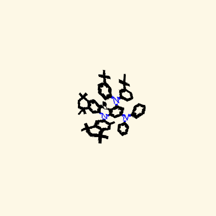 CB1c2cc3c(cc2N(c2cc4c(cc2C)C(C)(C)CC4(C)C)c2cc(N(c4ccccc4)c4ccccc4)cc(N(C4=CCCC(C(C)(C)C)=C4)c4cccc(C(C)(C)C)c4)c21)C(C)(C)CCC3(C)C